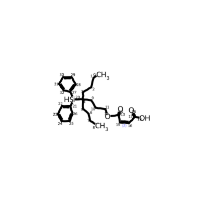 CCCCC(CCCC)(CCCOC(=O)/C=C\C(=O)O)[SiH](c1ccccc1)c1ccccc1